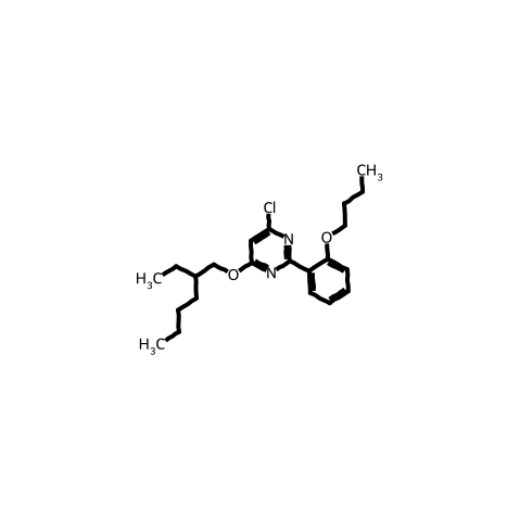 CCCCOc1ccccc1-c1nc(Cl)cc(OCC(CC)CCCC)n1